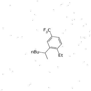 CCCCC(C)c1cc(C(F)(F)F)ccc1CC